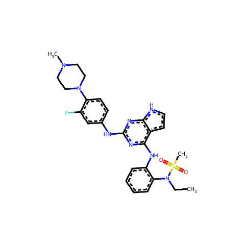 CCN(c1ccccc1Nc1nc(Nc2ccc(N3CCN(C)CC3)c(F)c2)nc2[nH]ccc12)S(C)(=O)=O